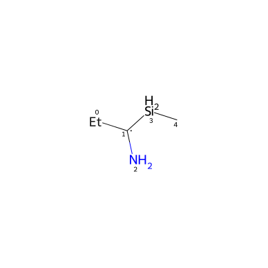 CC[C](N)[SiH2]C